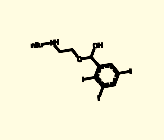 CCCCNCCOC(O)c1cc(I)cc(I)c1I